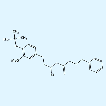 CCC(CCc1ccc(O[Si](C)(C)C(C)(C)C)c(OC)c1)CC(=S)CCCc1ccccc1